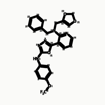 FC(F)(F)Oc1ccc(Nc2nnc(-c3cccnc3N(CC3=COCO3)Cc3ccccc3)o2)cc1